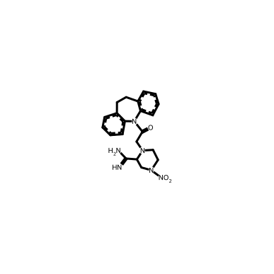 N=C(N)C1CN([N+](=O)[O-])CCN1CC(=O)N1c2ccccc2CCc2ccccc21